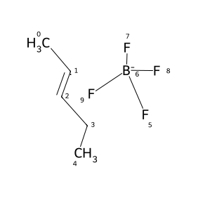 C/[C]=C/CC.F[B-](F)(F)F